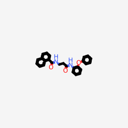 O=C(CCNC(=O)c1cccc2ccccc12)Nc1ccccc1Oc1ccccc1